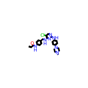 C=CC(=O)Nc1ccc(CNc2nc(Nc3ccc(N4CCN(C)CC4)cc3)ncc2Cl)cc1